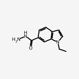 CCn1ccc2ccc(C(=O)NN)cc21